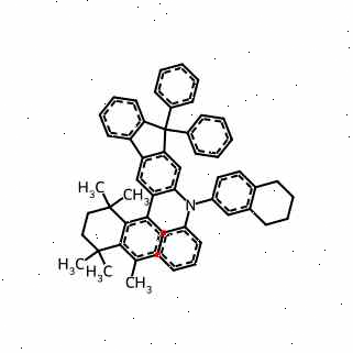 Cc1ccc(-c2cc3c(cc2N(c2ccccc2)c2ccc4c(c2)CCCC4)C(c2ccccc2)(c2ccccc2)c2ccccc2-3)c2c1C(C)(C)CCC2(C)C